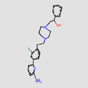 Nc1cccc(-c2ccc(CCN3CCN(CC(O)c4ccccc4)CC3)c(F)c2)n1